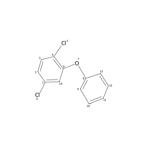 Clc1ccc(Cl)c(Oc2c[c]ccc2)c1